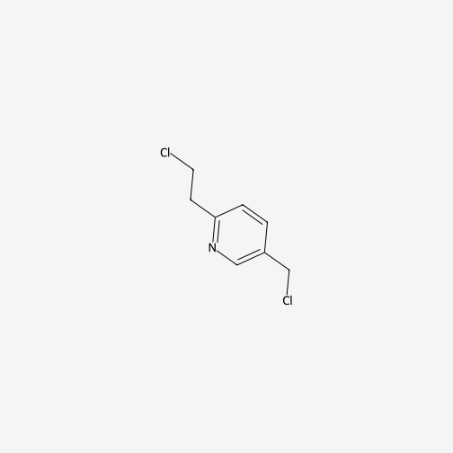 ClCCc1ccc(CCl)cn1